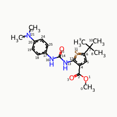 COC(=O)c1cc(C(C)(C)C)sc1NC(=O)Nc1ccc(N(C)C)cc1